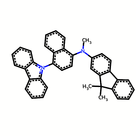 CN(c1ccc2c(c1)C(C)(C)c1ccccc1-2)c1ccc(-n2c3ccccc3c3ccccc32)c2ccccc12